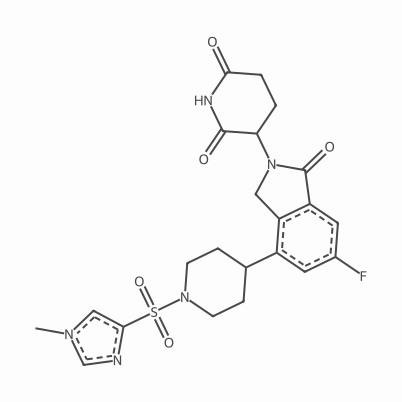 Cn1cnc(S(=O)(=O)N2CCC(c3cc(F)cc4c3CN(C3CCC(=O)NC3=O)C4=O)CC2)c1